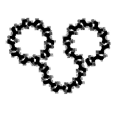 [c]1csc(-c2csc(-c3csc(-c4csc(-c5csc(-c6csc(-c7csc(-c8csc(-c9csc(-c%10csc(-c%11csc(-c%12csc(-c%13csc(-c%14csc(-c%15csc(-c%16csc(-c%17csc(-c%18csc(-c%19csc(-c%20csc(-c%21csc(-c%22csc(-c%23csc(-c%24csc(-c%25csc(-c%26cscn%26)n%25)n%24)n%23)n%22)n%21)n%20)n%19)n%18)n%17)n%16)n%15)n%14)n%13)n%12)n%11)n%10)n9)n8)n7)n6)n5)n4)n3)n2)n1